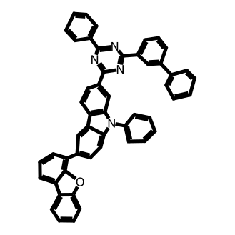 c1ccc(-c2cccc(-c3nc(-c4ccccc4)nc(-c4ccc5c6cc(-c7cccc8c7oc7ccccc78)ccc6n(-c6ccccc6)c5c4)n3)c2)cc1